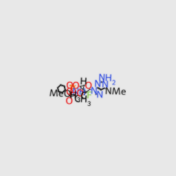 CNc1nc(N)nc2c1ncn2[C@@H]1O[C@@H]2C(OP(=O)(N[C@@H](C)C(=O)OC)Oc3ccccc3)[C@]2(O)[C@@]1(C)F